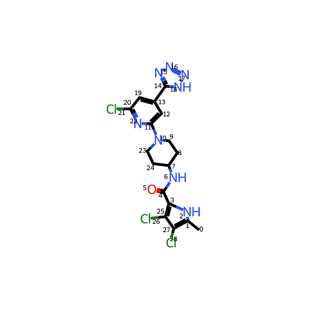 Cc1[nH]c(C(=O)NC2CCN(c3cc(-c4nnn[nH]4)cc(Cl)n3)CC2)c(Cl)c1Cl